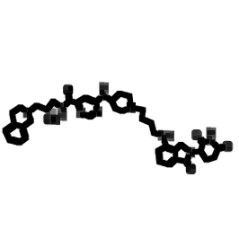 O=C1CCC(N2Cc3c(NCCCCN4CCC(Nc5cc(C(=O)NC[C@H](O)CN6CCc7ccccc7C6)ncn5)CC4)cccc3C2=O)C(=O)N1